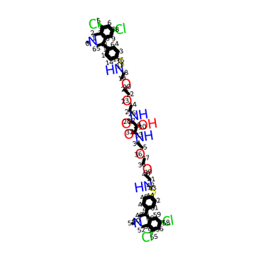 CN1Cc2c(Cl)cc(Cl)cc2C(c2ccc(SNCCOCCOCCNC(=O)C(O)C(=O)NCCOCCOCCNSc3ccc(C4CN(C)Cc5c(Cl)cc(Cl)cc54)cc3)cc2)C1